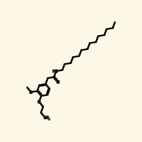 CCCCCCCCCCCCCCNC(=O)Cc1ccc(OCCN)c(OC)c1